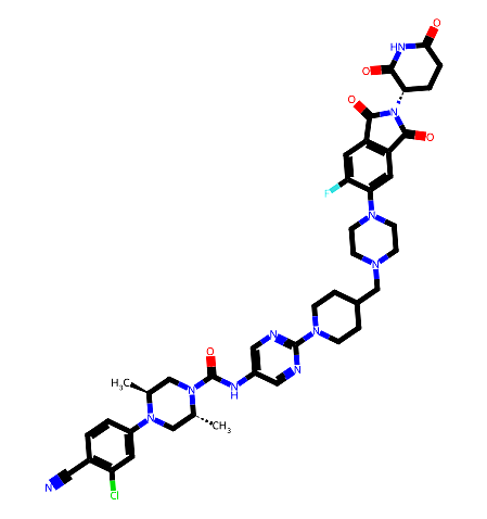 C[C@@H]1CN(c2ccc(C#N)c(Cl)c2)[C@@H](C)CN1C(=O)Nc1cnc(N2CCC(CN3CCN(c4cc5c(cc4F)C(=O)N([C@H]4CCC(=O)NC4=O)C5=O)CC3)CC2)nc1